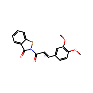 COc1ccc(/C=C/C(=O)n2sc3ccccc3c2=O)cc1OC